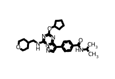 CC(C)NC(=O)c1ccc(-c2cnn3c(NCC4CCOCC4)nc(OC4CCCC4)nc23)cc1